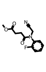 COC(=O)CCC(=O)N(CC#N)c1ccccc1F